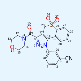 N#Cc1cccc(-n2nc(C(=O)N3CCOCC3)c3c2-c2ccccc2S(=O)(=O)C3)c1